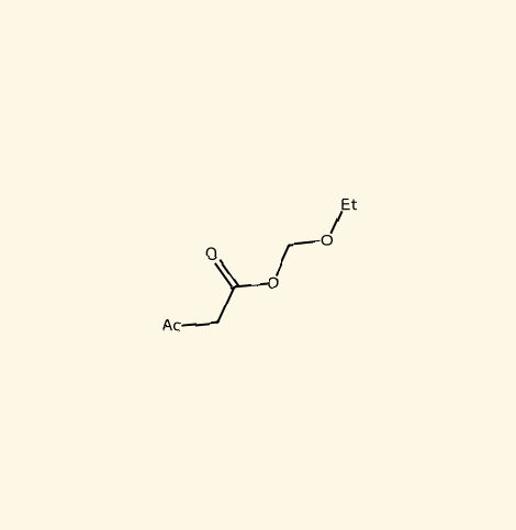 CCOCOC(=O)CC(C)=O